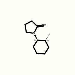 C[C@@H]1CCCC[C@H]1N1CCCC1=O